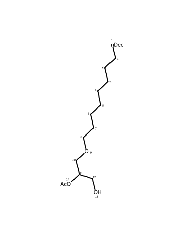 CCCCCCCCCCCCCCCCCCOCC(CO)OC(C)=O